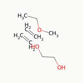 C=C.C=C.CCOC.OCCO